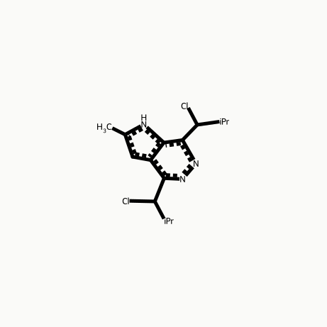 Cc1cc2c(C(Cl)C(C)C)nnc(C(Cl)C(C)C)c2[nH]1